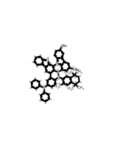 CCCCc1ccc2c(c1)c1cc(CCCC)cc3c1n2-c1c2c(cc4c1oc1ccccc14)-c1cc(N(c4ccccc4)c4ccccc4)ccc1N(c1cc4c(cc1C)C(C)(C)CCC4(C)C)B23